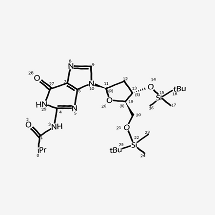 CC(C)C(=O)Nc1nc2c(ncn2[C@H]2C[C@H](O[Si](C)(C)C(C)(C)C)[C@@H](CO[Si](C)(C)C(C)(C)C)O2)c(=O)[nH]1